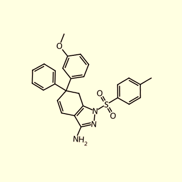 COc1cccc(C2(c3ccccc3)C=Cc3c(N)nn(S(=O)(=O)c4ccc(C)cc4)c3C2)c1